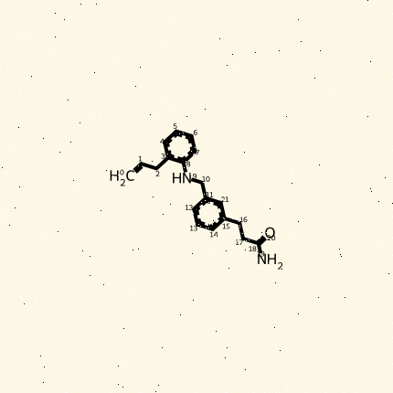 C=CCc1ccccc1NCc1cccc(CCC(N)=O)c1